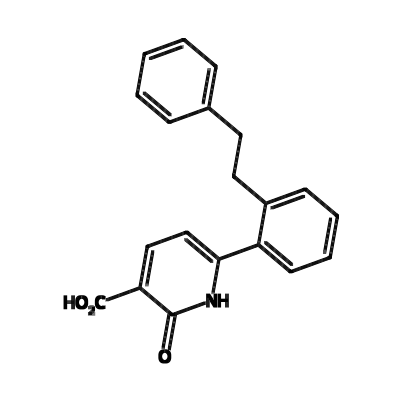 O=C(O)c1ccc(-c2ccccc2CCc2ccccc2)[nH]c1=O